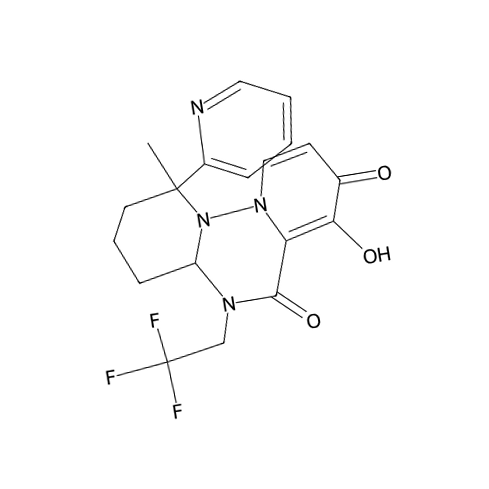 CC1(c2ccccn2)CCCC2N(CC(F)(F)F)C(=O)c3c(O)c(=O)ccn3N21